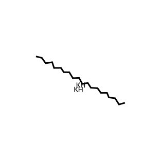 CCCCCCCCCCCCCCCCCCCC.[KH].[KH]